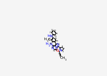 CC#CC(=O)N1CCC[C@H]1c1nc(-c2ccc(Nc3ccccc3)c(C)c2)c2c(N)nccn12